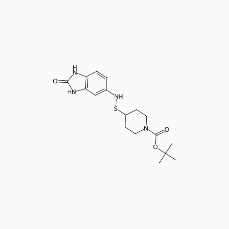 CC(C)(C)OC(=O)N1CCC(SNc2ccc3[nH]c(=O)[nH]c3c2)CC1